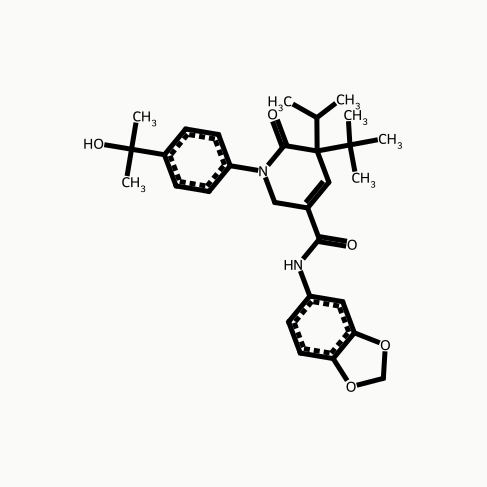 CC(C)C1(C(C)(C)C)C=C(C(=O)Nc2ccc3c(c2)OCO3)CN(c2ccc(C(C)(C)O)cc2)C1=O